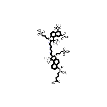 CN(CCCC(=O)O)[S+]([O-])c1cccc2c3c(ccc12)[N+](CCCS(=O)(=O)O)=C(/C=C/C=C/C=C1/N(CCCS(=O)(=O)O)c2ccc4c(S(=O)(=O)O)cc(S(=O)(=O)O)cc4c2C1(C)C)C3(C)C